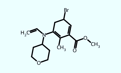 C=CN(C1=C(C)C(C(=O)OC)=CC(Br)C1)C1CCOCC1